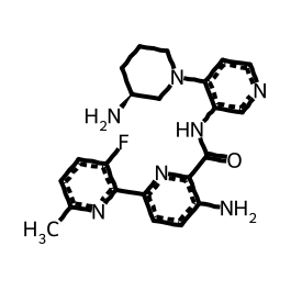 Cc1ccc(F)c(-c2ccc(N)c(C(=O)Nc3cnccc3N3CCC[C@H](N)C3)n2)n1